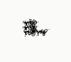 CC(C)CO[O][Ti](=[O])[O-].CC(C)CO[O][Ti](=[O])[O-].CC(C)CO[O][Ti](=[O])[O-].CC(C)CO[O][Ti](=[O])[O-].[Ti+4]